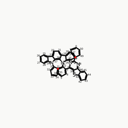 c1ccc(-c2nc(-c3ccccc3-n3c4ccccc4c4ccc5c6ccccc6n(-c6ccccc6)c5c43)c3sc4ccccc4c3n2)cc1